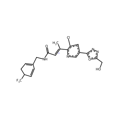 C/C(=C\C(=O)NCC1=CCC(C(F)(F)F)C=C1)c1ncc(-c2nnc(CO)o2)cc1Cl